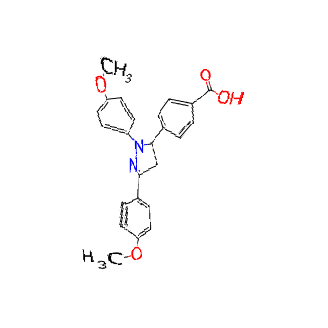 COc1ccc(C2=NN(c3ccc(OC)cc3)C(c3ccc(C(=O)O)cc3)C2)cc1